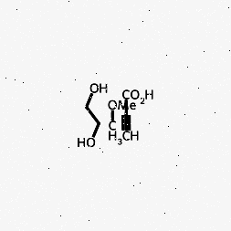 C#CC(=O)O.COC.OCCO